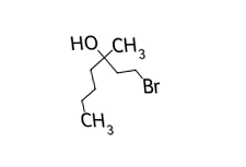 CCCCC(C)(O)CCBr